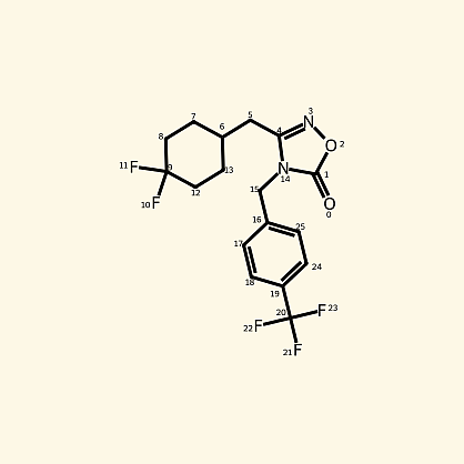 O=c1onc(CC2CCC(F)(F)CC2)n1Cc1ccc(C(F)(F)F)cc1